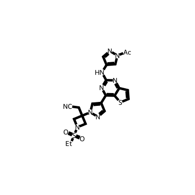 CCS(=O)(=O)N1CC(CC#N)(n2cc(-c3nc(Nc4cnn(C(C)=O)c4)nc4ccsc34)cn2)C1